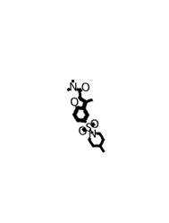 Cc1c(C(=O)N(C)C)oc2ccc(S(=O)(=O)N3CCC(C)CC3)cc12